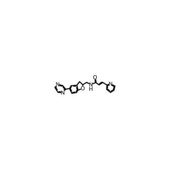 O=C(/C=C/c1ccccn1)NCC1Cc2cc(-c3cnccn3)ccc2O1